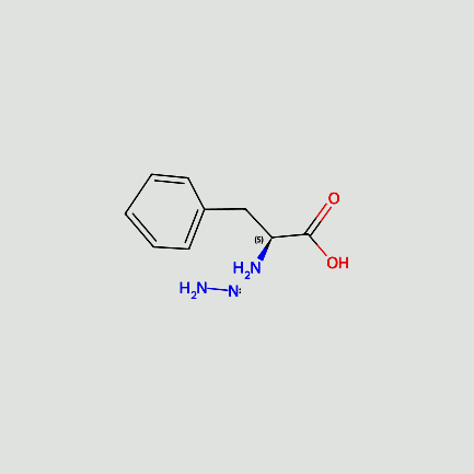 N[C@@H](Cc1ccccc1)C(=O)O.[N]N